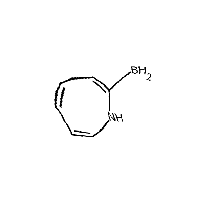 BC1=CC=CC=CN1